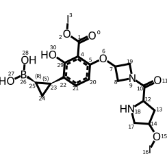 O=C(OI)c1c(OC2CN(C(=O)C3CC(OI)CN3)C2)ccc([C@H]2C[C@H]2B(O)O)c1O